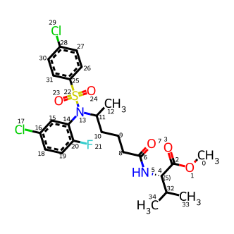 COC(=O)[C@@H](NC(=O)CCCC(C)N(c1cc(Cl)ccc1F)S(=O)(=O)c1ccc(Cl)cc1)C(C)C